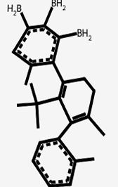 Bc1cc(C)c(C2=C(C(C)(C)C)C(c3ccccc3C)=C(C)CC2)c(B)c1B